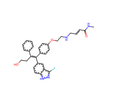 CNC(=O)/C=C/CNCCOc1ccc(/C(=C(/CCO)c2ccccc2)c2ccc3[nH]nc(F)c3c2)cc1